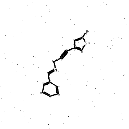 Brc1cc(C#CCN=Cc2ccccc2)cs1